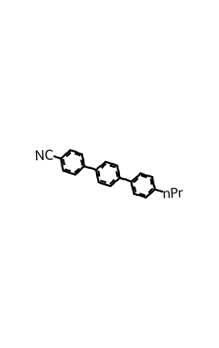 CCCc1ccc(-c2ccc(-c3ccc(C#N)cc3)cc2)cc1